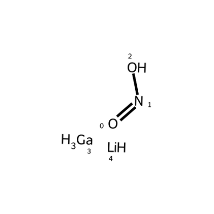 O=NO.[GaH3].[LiH]